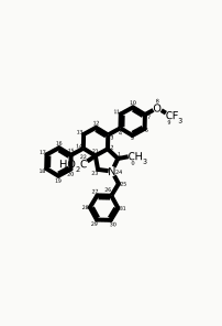 CC1C2C(c3ccc(OC(F)(F)F)cc3)=CCC(c3ccccc3)C2(C(=O)O)CN1Cc1ccccc1